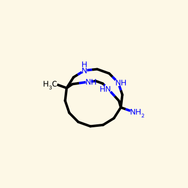 CC12CCCCCCC(N)(CNCCNC1)CNCCNC2